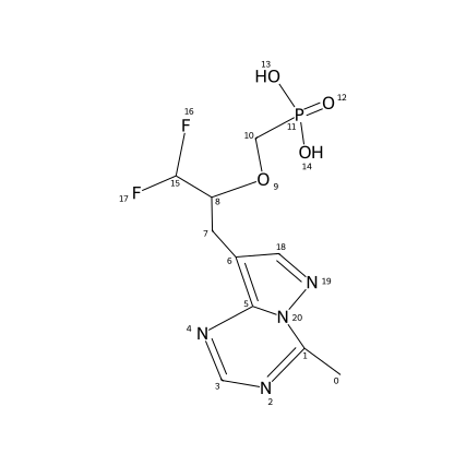 Cc1ncnc2c(CC(OCP(=O)(O)O)C(F)F)cnn12